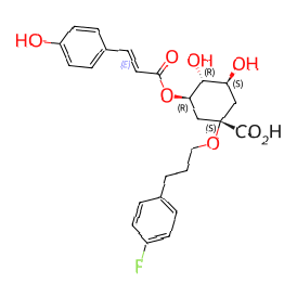 O=C(/C=C/c1ccc(O)cc1)O[C@@H]1C[C@](OCCCc2ccc(F)cc2)(C(=O)O)C[C@H](O)[C@H]1O